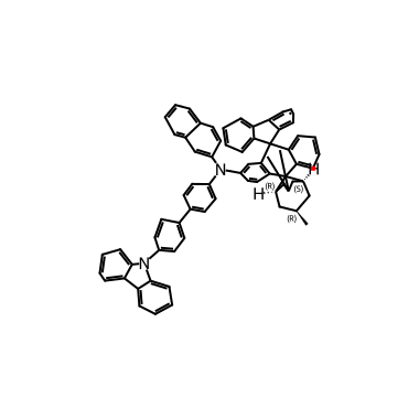 C[C@H]1C[C@@H]2CC(C)(C)C[C@H](C1)C21c2ccccc2C2(c3ccccc3-c3ccccc32)c2cc(N(c3ccc(-c4ccc(-n5c6ccccc6c6ccccc65)cc4)cc3)c3ccc4ccccc4c3)ccc21